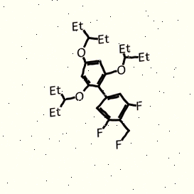 CCC(CC)Oc1cc(OC(CC)CC)c(-c2cc(F)c(CF)c(F)c2)c(OC(CC)CC)c1